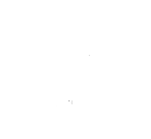 CC1(c2ccccc2)c2ccccc2-c2cc3c(cc21)[nH]c1ccccc13